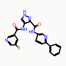 O=C(Nc1c[nH]nc1C(=O)Nc1ccc(-c2ccccc2)nc1)c1cncc(F)c1